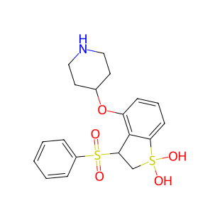 O=S(=O)(c1ccccc1)C1CS(O)(O)c2cccc(OC3CCNCC3)c21